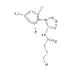 O=C(CCCCl)Nc1ccnn1-c1c(Cl)cc(C(F)(F)F)cc1Cl